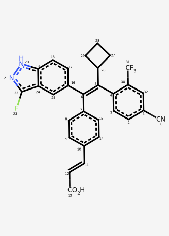 N#Cc1ccc(/C(=C(\c2ccc(/C=C/C(=O)O)cc2)c2ccc3[nH]nc(F)c3c2)C2CCC2)c(C(F)(F)F)c1